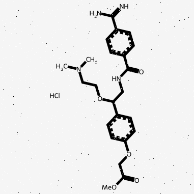 COC(=O)COc1ccc(C(CNC(=O)c2ccc(C(=N)N)cc2)OCCN(C)C)cc1.Cl